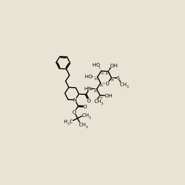 CS[C@H]1O[C@H]([C@H](NC(=O)C2CC(CCc3ccccc3)CCN2C(=O)OC(C)(C)C)[C@H](C)O)[C@H](O)[C@H](O)[C@H]1O